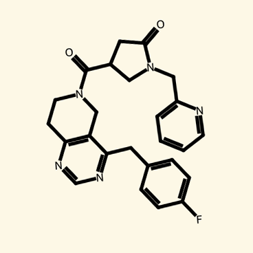 O=C1CC(C(=O)N2CCc3ncnc(Cc4ccc(F)cc4)c3C2)CN1Cc1ccccn1